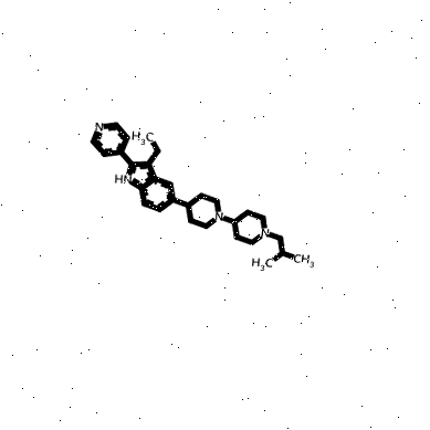 CCc1c(-c2ccncc2)[nH]c2ccc(C3CCN(C4CCN(CC(C)C)CC4)CC3)cc12